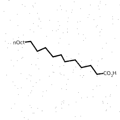 C[CH]CCCCCCCCCCCCCCCCC(=O)O